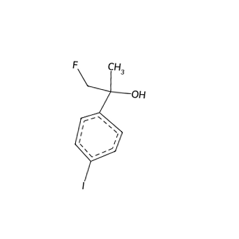 CC(O)(CF)c1ccc(I)cc1